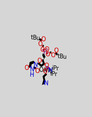 COC1C(OP(OCCC2C=N2)N(C(C)C)C(C)C)[C@@H](/C=C/P(=O)(OCOC(=O)C(C)(C)C)OCOC(=O)C(C)(C)C)O[C@H]1n1ccc(=O)[nH]c1=O